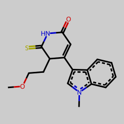 COCCC1C(=S)NC(=O)C=C1c1cn(C)c2ccccc12